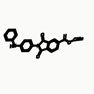 COONc1ccc2c(c1)C(=O)N(c1ccc(Nc3ccccc3)cc1)C2=O